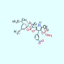 CC1=C(OC(=O)O)C(c2cccc([N+](=O)[O-])c2)C(OC(=O)OC2(CCBr)CC(C)CC(C(C)C)C2)=C(C)N1